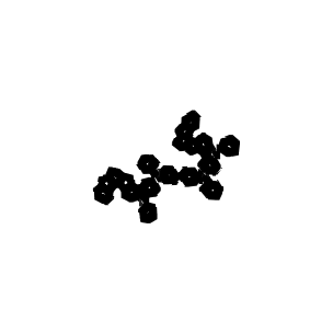 c1ccc(N(c2ccc(-c3ccc(N(c4ccccc4)c4ccc5c(c4)c4c6c(ccc4n5-c4ccccc4)-c4c(ccc5c4-c4ccccc4C5)C6)cc3)cc2)c2ccc3c(c2)c2c4c(ccc2n3-c2ccccc2)-c2c(ccc3c2-c2ccccc2C3)C4)cc1